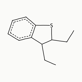 CCC1Sc2ccccc2C1CC